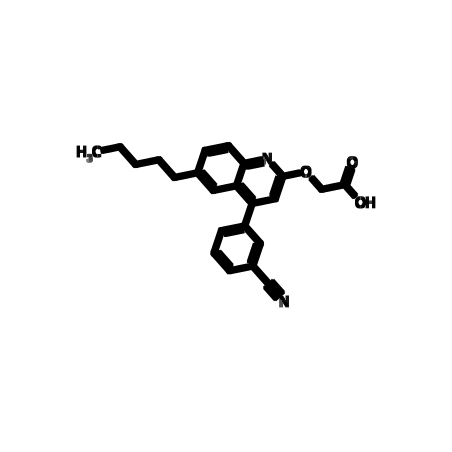 CCCCCc1ccc2nc(OCC(=O)O)cc(-c3cccc(C#N)c3)c2c1